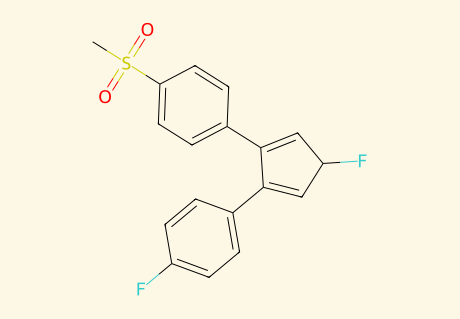 CS(=O)(=O)c1ccc(C2=CC(F)C=C2c2ccc(F)cc2)cc1